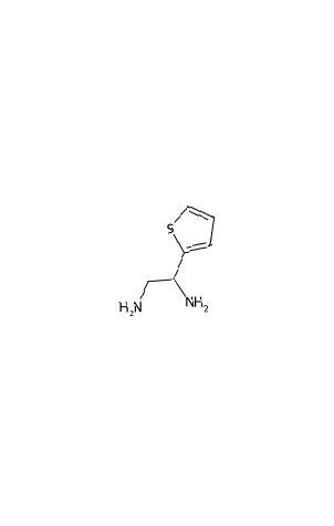 NCC(N)c1cccs1